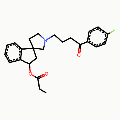 CCC(=O)OC1CC2(CCN(CCCC(=O)c3ccc(F)cc3)C2)c2ccccc21